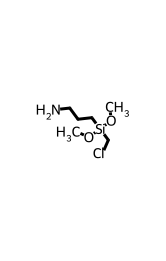 CO[Si](CCl)(CCCN)OC